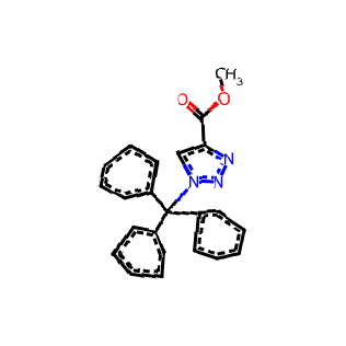 COC(=O)c1cn(C(c2ccccc2)(c2ccccc2)c2ccccc2)nn1